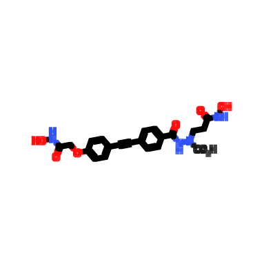 O=C(CCN(NC(=O)c1ccc(C#Cc2ccc(OCC(=O)NO)cc2)cc1)C(=O)O)NO